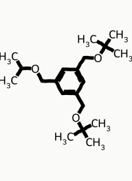 CC(C)OCc1cc(COC(C)(C)C)cc(COC(C)(C)C)c1